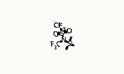 C[Si](C)(C)N(C(F)(F)F)S(=O)(=O)C(F)(F)F